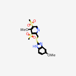 COc1ccc2[nH]c(SCc3ncc(S(C)(=O)=O)c(OC)c3S(C)(=O)=O)nc2c1